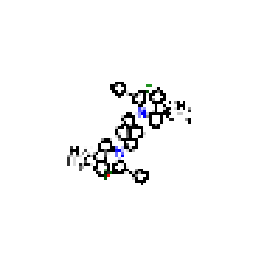 CC1(C)c2ccccc2-c2c(N(c3cc(F)cc(-c4ccccc4)c3)c3ccc4ccc5c(N(c6cc(F)cc(-c7ccccc7)c6)c6cccc7c6-c6ccccc6C7(C)C)ccc6ccc3c4c65)cccc21